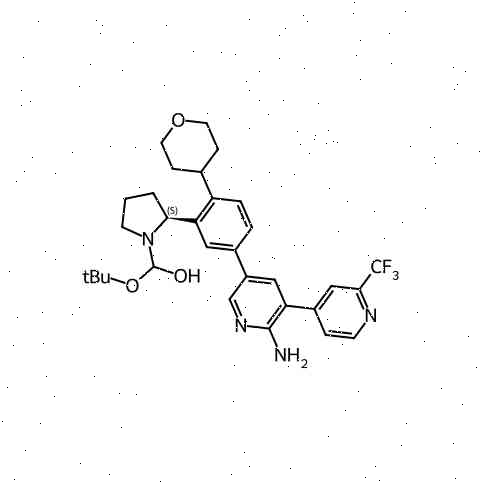 CC(C)(C)OC(O)N1CCC[C@H]1c1cc(-c2cnc(N)c(-c3ccnc(C(F)(F)F)c3)c2)ccc1C1CCOCC1